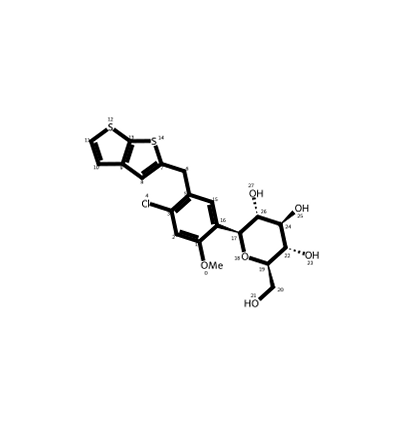 COc1cc(Cl)c(Cc2cc3ccsc3s2)cc1[C@@H]1O[C@H](CO)[C@@H](O)[C@H](O)[C@H]1O